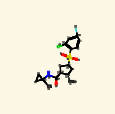 CO[C@H]1C[C@@H](S(=O)(=O)c2ccc(F)cc2Cl)C[C@@H]1C(=O)NC1(C#N)CC1